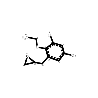 CCOc1c(Cl)cc(Cl)cc1CC1CO1